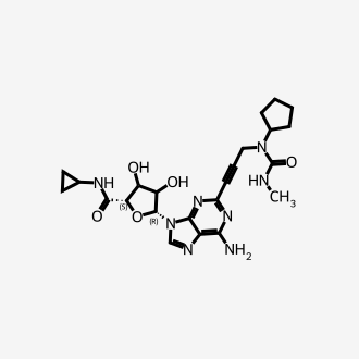 CNC(=O)N(CC#Cc1nc(N)c2ncn([C@@H]3O[C@H](C(=O)NC4CC4)C(O)C3O)c2n1)C1CCCC1